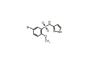 COc1ccc(Br)cc1S(=O)(=O)Nc1cc[nH]n1